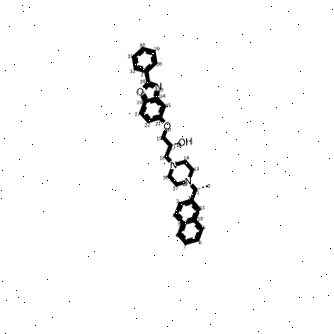 C[C@H](c1ccc2ccccc2c1)N1[CH]CN(C[C@@H](O)COc2ccc3oc(-c4ccccc4)nc3c2)CC1